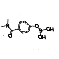 CN(C)C(=O)c1ccc(OB(O)O)cc1